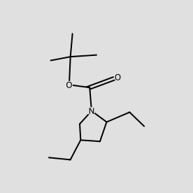 CCC1CC(CC)N(C(=O)OC(C)(C)C)C1